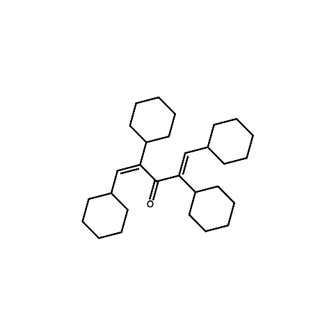 O=C(C(=CC1CCCCC1)C1CCCCC1)C(=CC1CCCCC1)C1CCCCC1